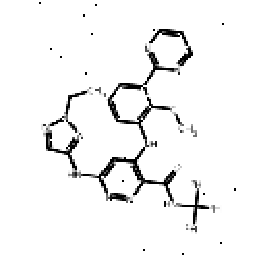 [2H]C([2H])([2H])NC(=O)c1nnc(Nc2cnn(CC)n2)cc1Nc1cccc(-c2ncccn2)c1OC